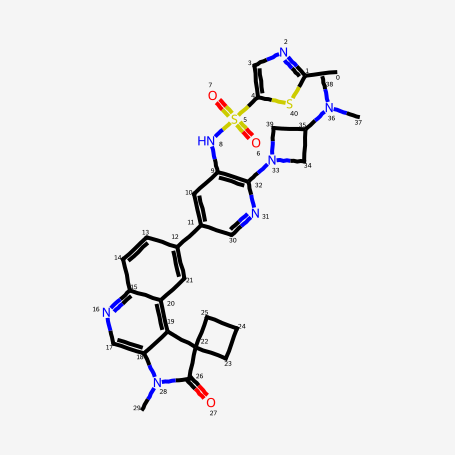 Cc1ncc(S(=O)(=O)Nc2cc(-c3ccc4ncc5c(c4c3)C3(CCC3)C(=O)N5C)cnc2N2CC(N(C)C)C2)s1